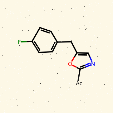 CC(=O)c1ncc(Cc2ccc(F)cc2)o1